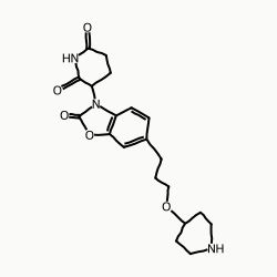 O=C1CCC(n2c(=O)oc3cc(CCCOC4CCNCC4)ccc32)C(=O)N1